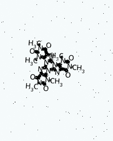 Cn1c(=O)c2nc3n(c2n(C)c1=O)c1nc2c(=O)n(C)c(=O)n(C)c2n1c1nc2c(=O)n(C)c(=O)n(C)c2n31